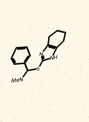 CNC(Sc1nc2c([nH]1)CCCC2)c1ccccc1